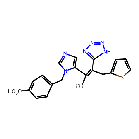 CCC(C)C(=C(Cc1cccs1)c1nnn[nH]1)c1cncn1Cc1ccc(C(=O)O)cc1